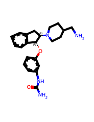 NCC1CCN([C@@H]2Cc3ccccc3[C@H]2Oc2cccc(NC(N)=O)c2)CC1